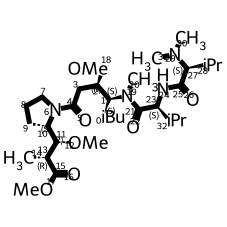 CC[C@H](C)[C@@H]([C@@H](CC(=O)N1CCC[C@H]1[C@H](OC)[C@@H](C)C(=O)OC)OC)N(C)C(=O)[C@@H](NC(=O)[C@H](C(C)C)N(C)C)C(C)C